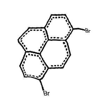 Brc1ccc2ccc3ccc(Br)c4ccc1c2c34